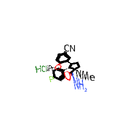 CN[C@@]1(C(N)=O)CC[C@H](c2cc(C#N)ccc2OC(C)C)[C@H]1c1ccc(F)cc1.Cl